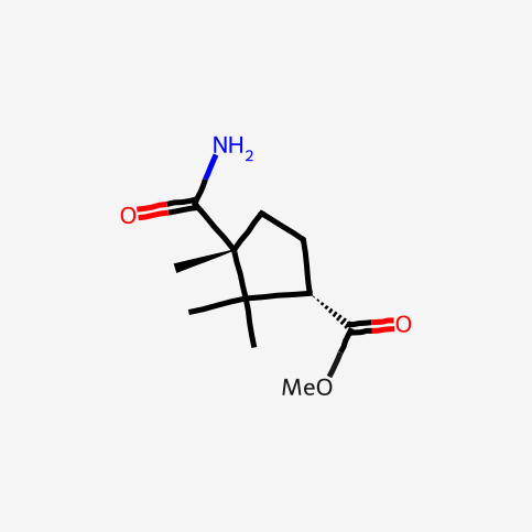 COC(=O)[C@H]1CC[C@@](C)(C(N)=O)C1(C)C